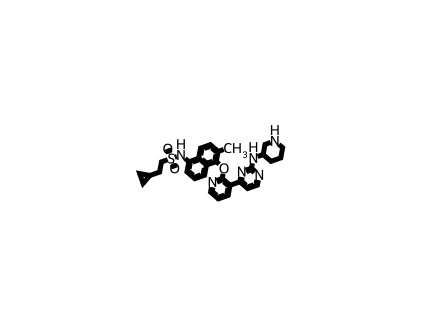 Cc1ccc2c(NS(=O)(=O)CCC3CC3)cccc2c1Oc1ncccc1-c1ccnc(NC2CCCNC2)n1